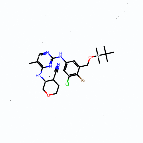 Cc1cnc(Nc2cc(Cl)c(Br)c(CO[Si](C)(C)C(C)(C)C)c2)nc1NC1COCCC1C#N